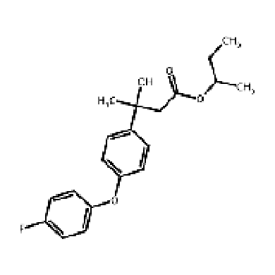 CCC(C)OC(=O)CC(C)(O)c1ccc(Oc2ccc(F)cc2)cc1